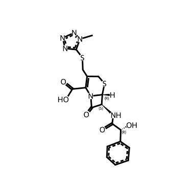 Cn1nnnc1SCC1=C(C(=O)O)N2C(=O)[C@H](NC(=O)[C@H](O)c3ccccc3)[C@H]2SC1